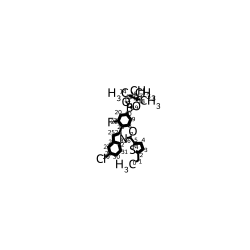 CCc1ccc(C2Oc3cc(B4OC(C)(C)C(C)(C)O4)cc(F)c3-c3cc4cc(Cl)ccc4n32)s1